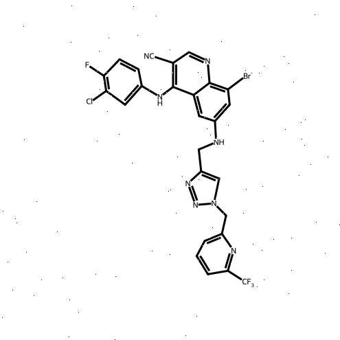 N#Cc1cnc2c(Br)cc(NCc3cn(Cc4cccc(C(F)(F)F)n4)nn3)cc2c1Nc1ccc(F)c(Cl)c1